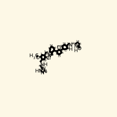 COc1cc(Cn2ncc3c(-c4cccc(-c5ccc(CNC[C@@H]6CCC(=O)N6)cc5)c4Cl)cccc32)c(Cl)cc1CNCc1nnn[nH]1